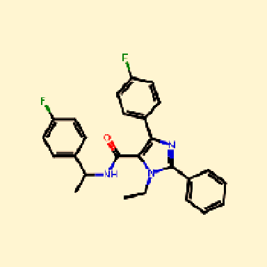 CCn1c(-c2ccccc2)nc(-c2ccc(F)cc2)c1C(=O)NC(C)c1ccc(F)cc1